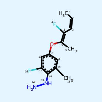 C/C=C\C(F)=C(/C)Oc1cc(C)c(NN)c(F)c1